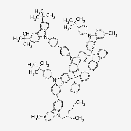 CCCCC(CC)Cn1c2ccc(C)cc2c2cc(-c3ccc4c(c3)c3cc(C5(c6ccc7c(c6)c6cc(C8(c9ccc%10c(c9)c9cc(C)ccc9n%10-c9ccc(C(C)(C)C)cc9)c9ccccc9-c9ccccc98)ccc6n7-c6ccc(-c7ccc(-n8c9ccc(C(C)(C)C)cc9c9cc(C(C)(C)C)ccc98)cc7)cc6)c6ccccc6-c6ccccc65)ccc3n4-c3ccc(C(C)(C)C)cc3)ccc21